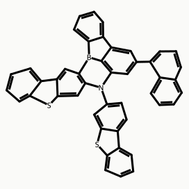 c1ccc2c(c1)B1c3cc4c(cc3N(c3ccc5c(c3)sc3ccccc35)c3cc(-c5cccc6ccccc56)cc-2c31)sc1ccccc14